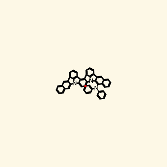 c1ccc(N(c2ccccc2)c2c3ccccc3cc3c4cccc5c6c7c8cccc9c%10cc%11ccccc%11cc%10n(c7ccc6n(c23)c45)c98)cc1